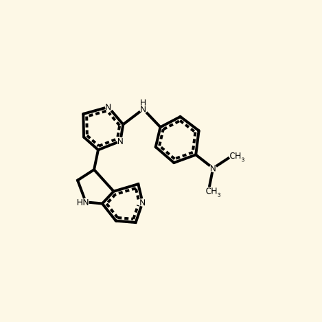 CN(C)c1ccc(Nc2nccc(C3CNc4ccncc43)n2)cc1